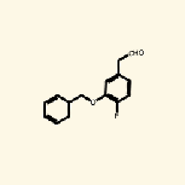 O=CCc1ccc(F)c(OCC2C=CC=CC2)c1